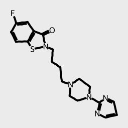 O=c1c2cc(F)ccc2sn1CCCCN1CCN(c2ncccn2)CC1